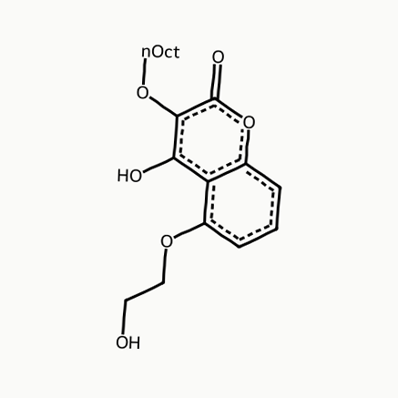 CCCCCCCCOc1c(O)c2c(OCCO)cccc2oc1=O